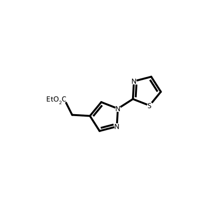 CCOC(=O)Cc1cnn(-c2nccs2)c1